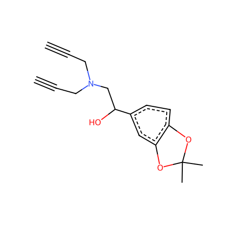 C#CCN(CC#C)CC(O)c1ccc2c(c1)OC(C)(C)O2